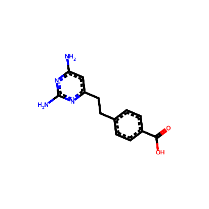 Nc1cc(CCc2ccc(C(=O)O)cc2)nc(N)n1